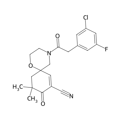 CC1(C)CC2(C=C(C#N)C1=O)CN(C(=O)Cc1cc(F)cc(Cl)c1)CCO2